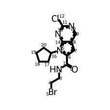 O=C(NCCBr)c1cc2cnc(Cl)nc2n1C1CCCC1